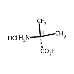 C[C@](N)(C(=O)O)C(F)(F)F.Cl